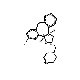 Fc1ccc2c(c1)[C@H]1O[C@@H](CN3CCNCC3)C[C@@H]1c1ccccc1C2